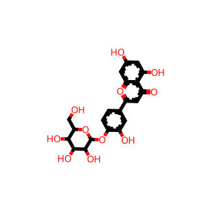 O=c1cc(-c2ccc(OC3OC(CO)C(O)C(O)C3O)c(O)c2)oc2cc(O)cc(O)c12